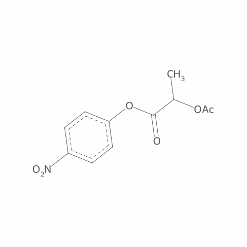 CC(=O)OC(C)C(=O)Oc1ccc([N+](=O)[O-])cc1